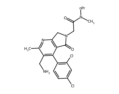 CCCN(C)C(=O)CN1Cc2nc(C)c(CN)c(-c3ccc(Cl)cc3Cl)c2C1=O